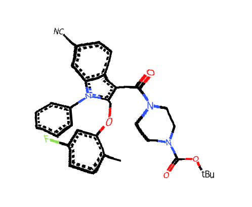 Cc1ccc(F)cc1Oc1c(C(=O)N2CCN(C(=O)OC(C)(C)C)CC2)c2ccc(C#N)cc2n1-c1ccccc1